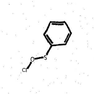 ClOSc1ccccc1